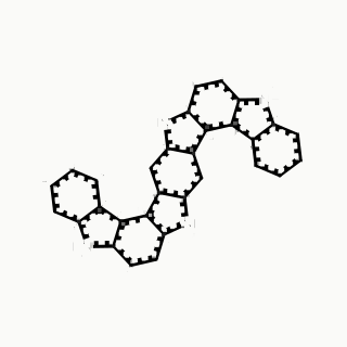 c1ccc2c(c1)[nH]c1ccc3[nH]c4cc5c(cc4c3c12)[nH]c1ccc2[nH]c3ccccc3c2c15